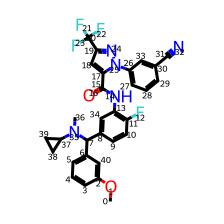 COc1cccc(C(c2ccc(F)c(NC(=O)c3cc(C(F)(F)F)nn3-c3cccc(C#N)c3)c2)N(C)C2CC2)c1